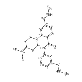 CC(C)(C)NSc1cccc(NC(=O)c2ccc(SNC(C)(C)C)cc2N2CCC(=C(F)F)CC2)c1